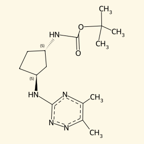 Cc1nnc(N[C@H]2CC[C@H](NC(=O)OC(C)(C)C)C2)nc1C